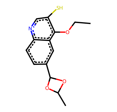 CCOc1c(S)cnc2ccc(C3OC(C)O3)cc12